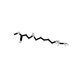 COC(=O)CCNCCCCC[SiH2]O[SiH3]